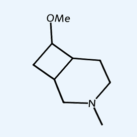 COC1CC2CN(C)CCC21